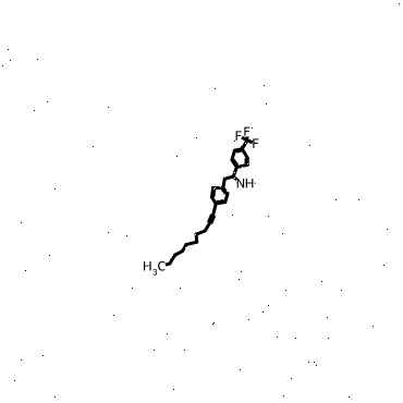 CCCCCCCCC#Cc1ccc(CC([NH])c2ccc(C(F)(F)F)cc2)cc1